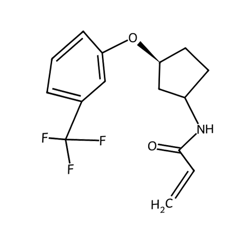 C=CC(=O)NC1CC[C@H](Oc2cccc(C(F)(F)F)c2)C1